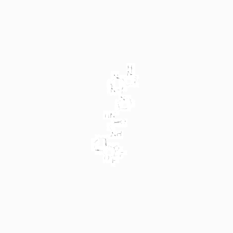 O=C(CNc1cccc2c1OC(F)(F)O2)NC1CCCN(c2ncnc3[nH]ccc23)C1